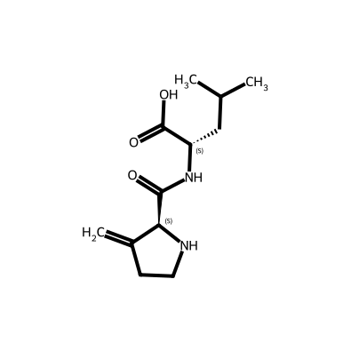 C=C1CCN[C@@H]1C(=O)N[C@@H](CC(C)C)C(=O)O